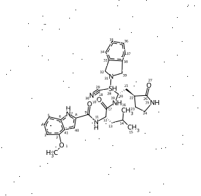 COc1cccc2[nH]c(C(=O)N[C@@H](CC(C)C)C(=O)N[C@@H](C[C@@H]3CCNC3=O)[SH](C#N)N3Cc4ccccc4C3)cc12